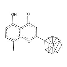 Cc1ccc(O)c2c(=O)cc([C]34[CH]5[CH]6[CH]7[CH]3[Fe]6754389%10[CH]4[CH]3[CH]8[CH]9[CH]4%10)oc12